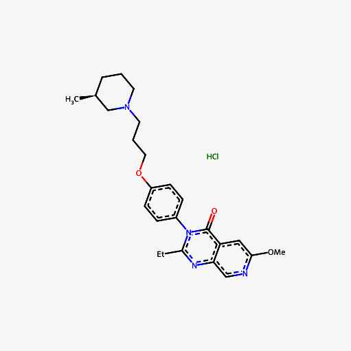 CCc1nc2cnc(OC)cc2c(=O)n1-c1ccc(OCCCN2CCC[C@H](C)C2)cc1.Cl